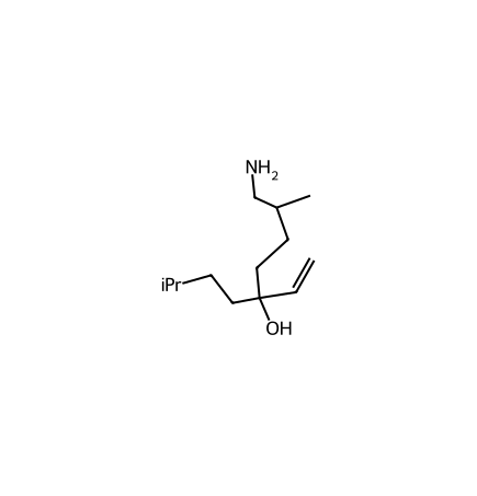 C=CC(O)(CCC(C)C)CCC(C)CN